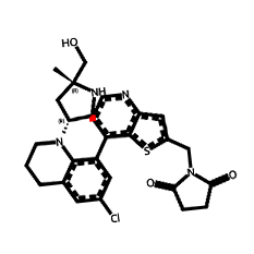 C[C@]1(CO)C[C@@H](N2CCCc3cc(Cl)cc(-c4ccnc5cc(CN6C(=O)CCC6=O)sc45)c32)CN1